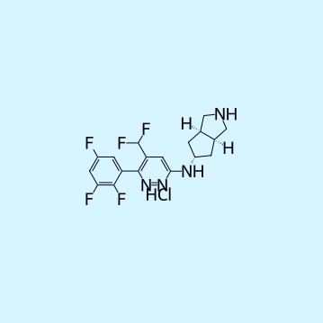 Cl.Fc1cc(F)c(F)c(-c2nnc(N[C@@H]3C[C@H]4CNC[C@H]4C3)cc2C(F)F)c1